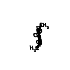 CCCCC[C@H](F)C(=O)OC1CCC(c2ccc(C3CCC(OC(=O)[C@@H](F)CCCCC)CC3)c(Cl)c2)CC1